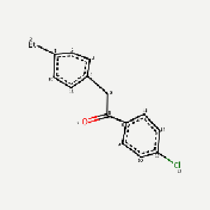 CCc1ccc(CC(=O)c2ccc(Cl)cc2)cc1